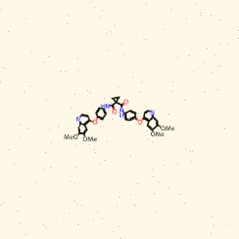 COc1cc2nccc(Oc3ccc(NC(=O)C4(C(=O)Nc5ccc(Oc6ccnc7cc(OC)c(OC)cc67)cc5)CC4)cc3)c2cc1OC